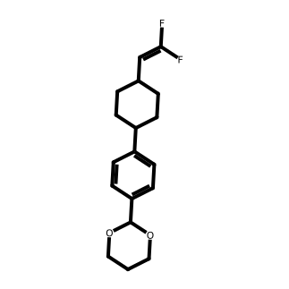 FC(F)=CC1CCC(c2ccc(C3OCCCO3)cc2)CC1